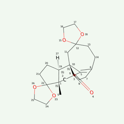 C[C@]12CC(=O)C3=C4CCC[C@]3(CC3(CC4)OCCO3)[C@@H]1CCC21OCCO1